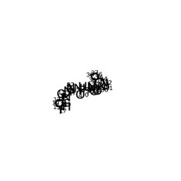 C[C@H](CC(=O)Nc1cc(NC(=O)c2cccc(F)c2F)nn1C)C(=O)N[C@@H]1C(=O)N2CCCN2Cc2ccccc21